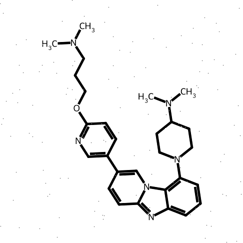 CN(C)CCCOc1ccc(-c2ccc3nc4cccc(N5CCC(N(C)C)CC5)c4n3c2)cn1